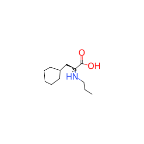 CCCN[C@@H](CC1CCCCC1)C(=O)O